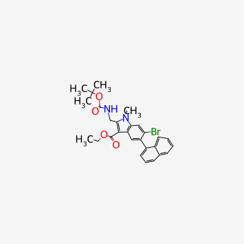 CCOC(=O)c1c(CNC(=O)OC(C)(C)C)n(C)c2cc(Br)c(-c3cccc4ccccc34)cc12